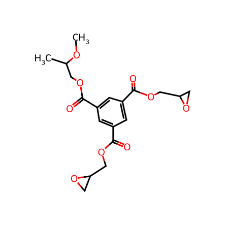 COC(C)COC(=O)c1cc(C(=O)OCC2CO2)cc(C(=O)OCC2CO2)c1